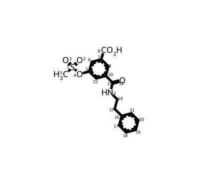 CS(=O)(=O)Oc1cc(C(=O)O)cc(C(=O)NCCc2ccccc2)c1